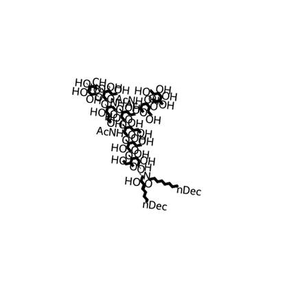 CCCCCCCCCCCCC/C=C/[C@@H](O)[C@H](CO[C@@H]1OC(CO)[C@@H](O[C@@H]2OC(CO)[C@H](O)[C@H](O[C@@H]3OC(CO)[C@@H](O)[C@H](O[C@@H]4OC(CO[C@@H]5OC(CO)[C@@H](O[C@@H]6OC(CO)[C@H](O)[C@H](O)C6O)[C@H](O)C5NC(C)=O)[C@H](O)[C@H](O[C@@H]5OC(CO)[C@@H](O)[C@H](O[C@@H]6OC(CO)[C@H](O)[C@H](O)C6O[C@H]6OC(C)[C@@H](O)C(O)[C@@H]6O)C5NC(C)=O)C4O)C3NC(C)=O)C2O)[C@H](O)C1O)NC(=O)CCCCCCCCCCCCCCCCC